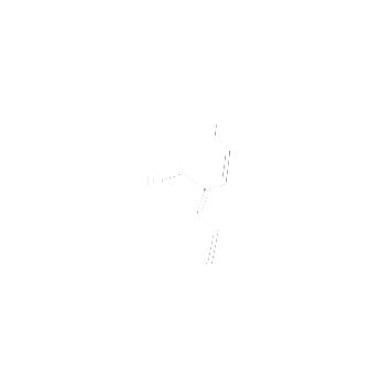 C=C/C=C(\C=C/CF)CO